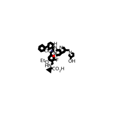 CCOc1cc(/C=C/C2(Nc3nccc4cc(CN5CCC(O)C5)cnc34)C=CC=C(c3ccccc3)C2(C)Cl)c(Cl)c(F)c1CNC1(C(=O)O)CC1